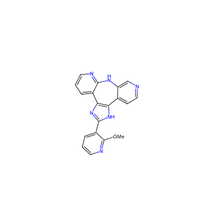 COc1ncccc1-c1nc2c([nH]1)-c1ccncc1Nc1ncccc1-2